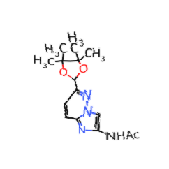 CC(=O)Nc1cn2nc(C3OC(C)(C)C(C)(C)O3)ccc2n1